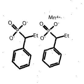 CCC(c1ccccc1)P(=O)([O-])[O-].CCC(c1ccccc1)P(=O)([O-])[O-].[Mn+4]